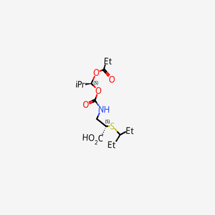 CCC(=O)O[C@@H](OC(=O)NC[C@H](SC(CC)CC)C(=O)O)C(C)C